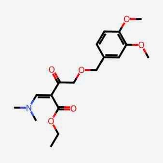 CCOC(=O)C(=CN(C)C)C(=O)COCc1ccc(OC)c(OC)c1